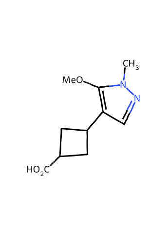 COc1c(C2CC(C(=O)O)C2)cnn1C